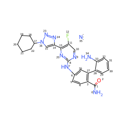 NC(=O)c1ccc(Nc2ncc(F)c(-c3cn(C4CCCCC4)nn3)n2)cc1-c1ccccc1N.[N]